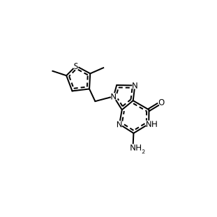 Cc1cc(Cn2cnc3c(=O)[nH]c(N)nc32)c(C)s1